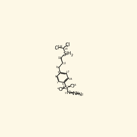 [N-]=[N+]=NS(=O)(=O)c1ccc(CCC[SiH2]C(Cl)Cl)cc1